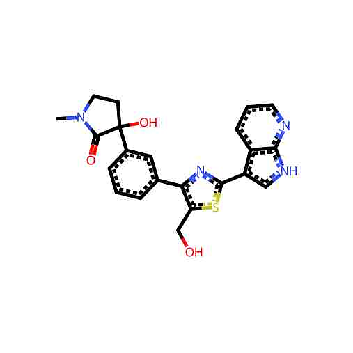 CN1CCC(O)(c2cccc(-c3nc(-c4c[nH]c5ncccc45)sc3CO)c2)C1=O